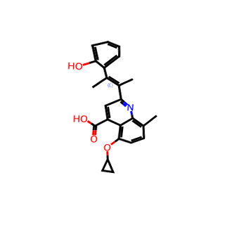 C/C(=C(/C)c1ccccc1O)c1cc(C(=O)O)c2c(OC3CC3)ccc(C)c2n1